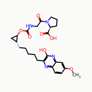 COc1ccc2nc(CCCCC[C@@H]3C[C@H]3OC(=O)NCC(=O)N3CCC[C@H]3C(=O)O)c(O)nc2c1